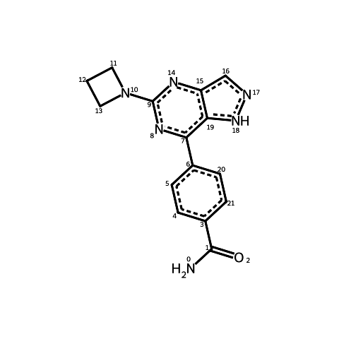 NC(=O)c1ccc(-c2nc(N3CCC3)nc3cn[nH]c23)cc1